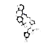 CC(C)(O)c1ccc2c(c1)/C(=C\CCN1CC[C@@H](N(Cc3ccc(Cl)cc3)C(N)=O)C1)c1cccnc1CO2